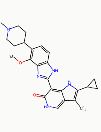 CCOc1c(C2CCN(C)CC2)ccc2[nH]c(-c3c(=O)[nH]cc4c(C(F)(F)F)c(C5CC5)[nH]c34)nc12